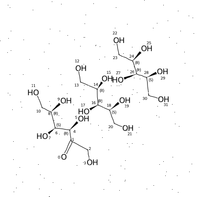 O=C(CO)[C@H](O)[C@@H](O)[C@H](O)CO.OC[C@@H](O)[C@H](O)[C@@H](O)CO.OC[C@@H](O)[C@H](O)[C@@H](O)CO